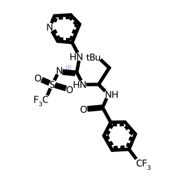 CC(C)(C)CC(NC(=O)c1ccc(C(F)(F)F)cc1)N/C(=N\S(=O)(=O)C(F)(F)F)Nc1cccnc1